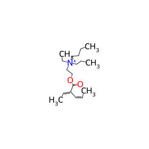 C/C=C\C(=C/C)C(=O)OCC[N+](CC)(CCC)CCCC